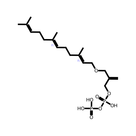 C=C(COC/C=C(\C)CC/C=C(\C)CCC=C(C)C)COP(=O)(O)OP(=O)(O)O